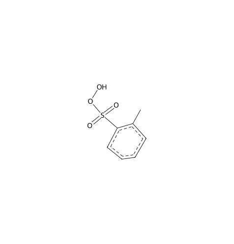 Cc1ccccc1S(=O)(=O)OO